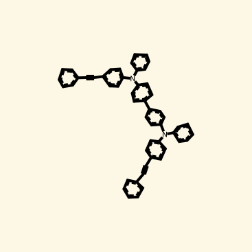 C(#Cc1ccc(N(c2ccccc2)c2ccc(-c3ccc(N(c4ccccc4)c4ccc(C#Cc5ccccc5)cc4)cc3)cc2)cc1)c1ccccc1